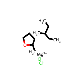 CC1CCCO1.CCC(C)CC.[Cl-].[Cl-].[Mg+2]